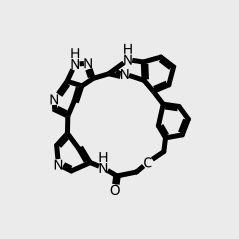 O=C1CCCc2cccc(c2)-c2cccc3[nH]c(nc23)-c2n[nH]c3ncc(cc23)-c2cncc(c2)N1